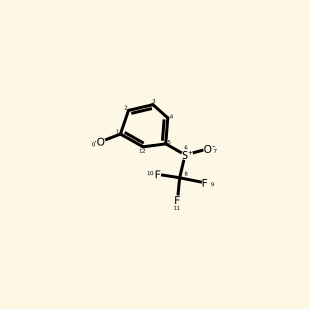 [O]c1cccc([S+]([O-])C(F)(F)F)c1